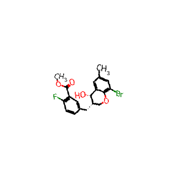 COC(=O)c1cc(C[C@H]2COc3c(Br)cc(C)cc3[C@H]2O)ccc1F